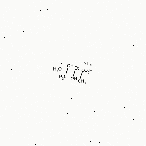 CC(=O)O.CCO.CO.N.O